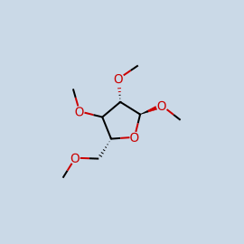 COC[C@H]1O[C@H](OC)[C@@H](OC)C1OC